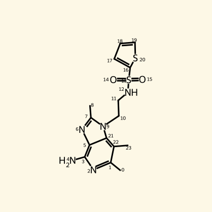 Cc1nc(N)c2nc(C)n(CCNS(=O)(=O)c3cccs3)c2c1C